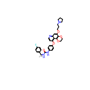 C[C@@H](NC(=O)Nc1ccc(Oc2ccnc3cc(OCCCN4CCCC4)c4c(c23)OCCO4)cc1)c1ccc(F)cc1